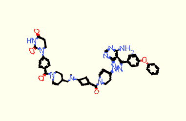 CN(CC1CCN(C(=O)c2ccc(N3CCC(=O)NC3=O)cc2)CC1)C1CC(C(=O)N2CCC(n3nc(-c4ccc(Oc5ccccc5)cc4)c4c(N)ncnc43)CC2)C1